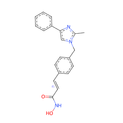 Cc1nc(-c2ccccc2)cn1Cc1ccc(/C=C/C(=O)NO)cc1